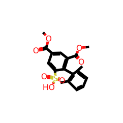 COC(=O)c1cc(C(=O)OC)c(-c2c(C)cccc2C)c(S(=O)(=O)O)c1